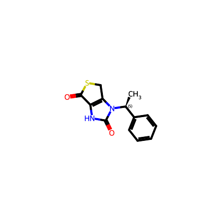 C[C@@H](c1ccccc1)n1c2c([nH]c1=O)C(=O)SC2